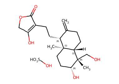 C=C1CC[C@@H]2[C@](C)(CO)[C@H](O)CC[C@@]2(C)[C@@H]1CCC1=C(O)COC1=O.O=S(=O)(O)O